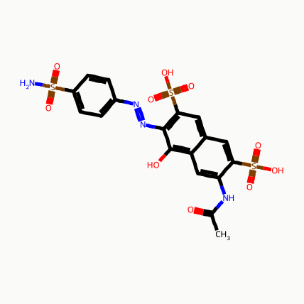 CC(=O)Nc1cc2c(O)c(/N=N/c3ccc(S(N)(=O)=O)cc3)c(S(=O)(=O)O)cc2cc1S(=O)(=O)O